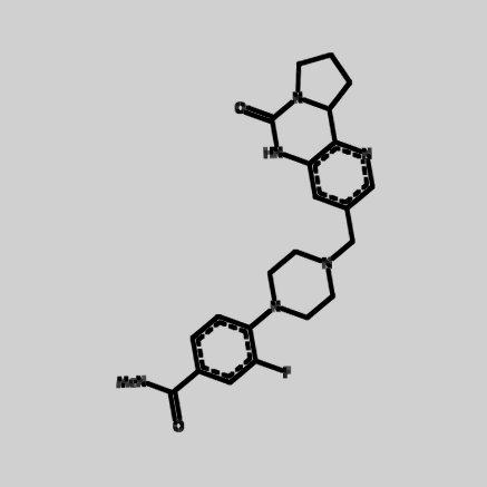 CNC(=O)c1ccc(N2CCN(Cc3cnc4c(c3)NC(=O)N3CCCC43)CC2)c(F)c1